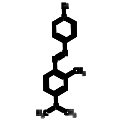 CCN1C=CC(N=Nc2ccc(N(C)C)cc2C)=CC1